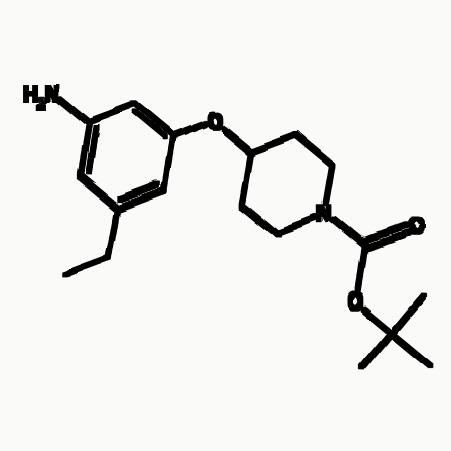 CCc1cc(N)cc(OC2CCN(C(=O)OC(C)(C)C)CC2)c1